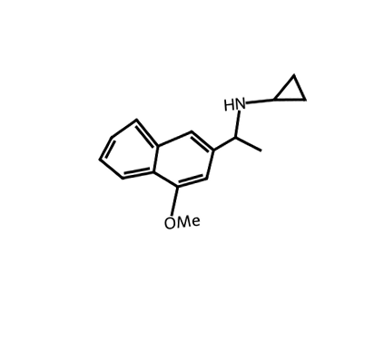 COc1cc(C(C)NC2CC2)cc2ccccc12